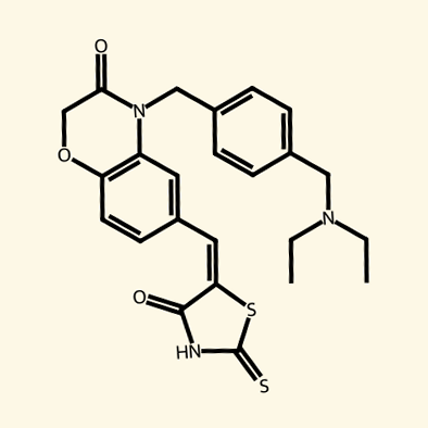 CCN(CC)Cc1ccc(CN2C(=O)COc3ccc(C=C4SC(=S)NC4=O)cc32)cc1